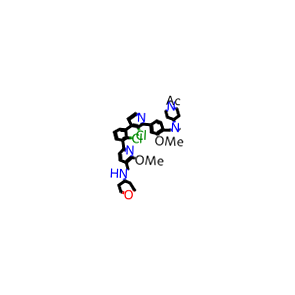 COc1cc(-c2nccc(-c3cccc(-c4ccc(CNC5CCOCC5)c(OC)n4)c3Cl)c2Cl)ccc1CN(C)C1CCN(C(C)=O)CC1